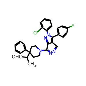 CC(C=O)C1(c2ccccc2)CCN(c2nncc3c(-c4ccc(F)cc4)n(-c4ccccc4Cl)nc23)CC1